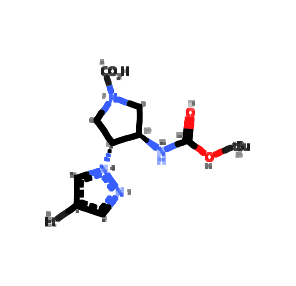 CCc1cnn([C@@H]2CN(C(=O)O)C[C@H]2NC(=O)OC(C)(C)C)c1